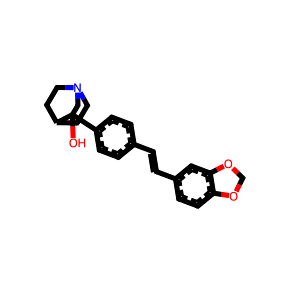 OC1(c2ccc(C=Cc3ccc4c(c3)OCO4)cc2)CN2CCC1CC2